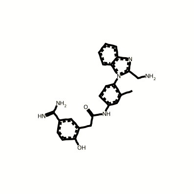 Cc1cc(NC(=O)Cc2cc(C(=N)N)ccc2O)ccc1-n1c(CN)nc2ccccc21